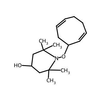 CC1(C)CC(O)CC(C)(C)N1OC1/C=C\CC/C=C\C1